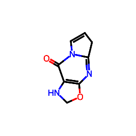 O=c1c2c(nc3n1C=CC3)OCN2